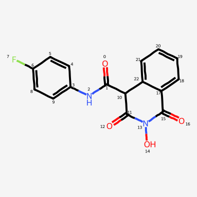 O=C(Nc1ccc(F)cc1)C1C(=O)N(O)C(=O)c2ccccc21